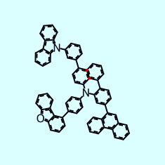 c1ccc(-c2ccc(-c3cc4ccccc4c4ccccc34)cc2N(c2ccc(-c3cccc(-n4c5ccccc5c5ccccc54)c3)cc2)c2ccc(-c3cccc4oc5ccccc5c34)cc2)cc1